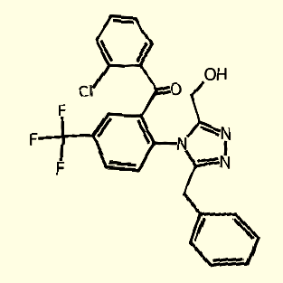 O=C(c1ccccc1Cl)c1cc(C(F)(F)F)ccc1-n1c(CO)nnc1Cc1ccccc1